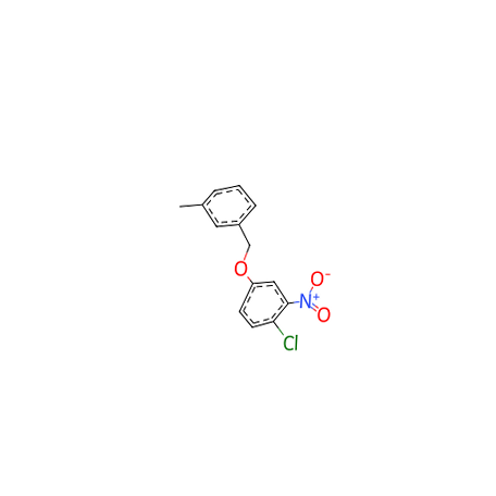 Cc1cccc(COc2ccc(Cl)c([N+](=O)[O-])c2)c1